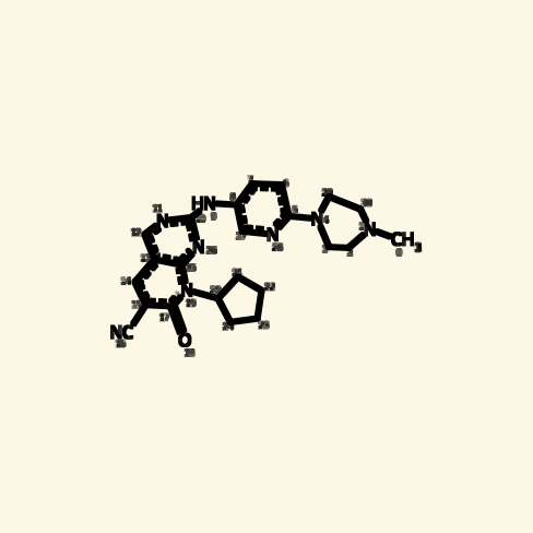 CN1CCN(c2ccc(Nc3ncc4cc(C#N)c(=O)n(C5CCCC5)c4n3)cn2)CC1